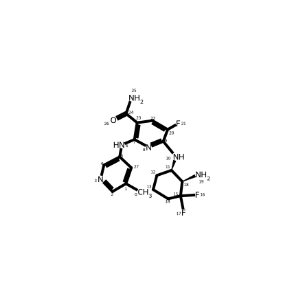 Cc1cncc(Nc2nc(N[C@@H]3CCCC(F)(F)[C@@H]3N)c(F)cc2C(N)=O)c1